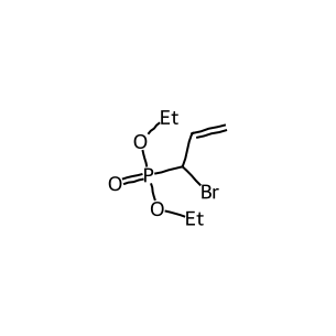 C=CC(Br)P(=O)(OCC)OCC